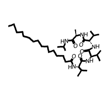 CCCCCCCCCCCCCCCC(=O)N[C@H](C(=O)N[C@@H](C(=O)N[C@H](C(=O)N[C@H](C)C(=O)NC(C)C)C(C)C)C(C)C)C(C)C